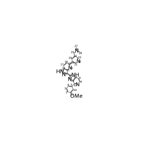 COc1cccc(-c2nccc3[nH]c(-c4n[nH]c5ccc(-c6cncc(CN(C)C)c6)nc45)nc23)c1